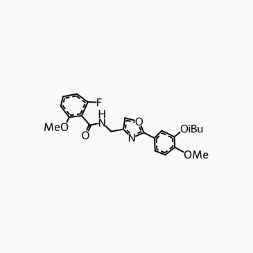 COc1ccc(-c2nc(CNC(=O)c3c(F)cccc3OC)co2)cc1OCC(C)C